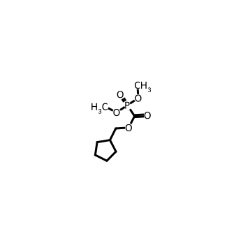 COP(=O)(OC)C(=O)OCC1CCCC1